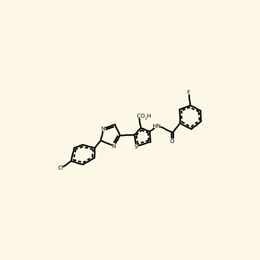 O=C(Nc1csc(C2=NC(c3ccc(Cl)cc3)N=C2)c1C(=O)O)c1cccc(F)c1